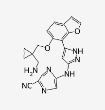 N#Cc1cnc(Nc2cc(-c3c(OCC4(CN)CC4)ccc4ccoc34)[nH]n2)cn1